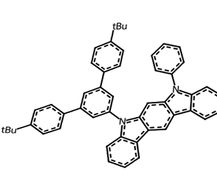 CC(C)(C)c1ccc(-c2cc(-c3ccc(C(C)(C)C)cc3)cc(-n3c4ccccc4c4cc5c6ccccc6n(-c6ccccc6)c5cc43)c2)cc1